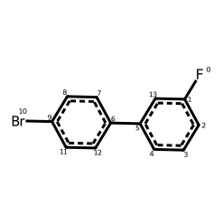 Fc1cccc(-c2ccc(Br)cc2)c1